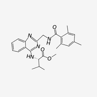 COC(=O)[C@@H](Nc1nc(CNC(=O)c2c(C)cc(C)cc2C)nc2ccccc12)C(C)C